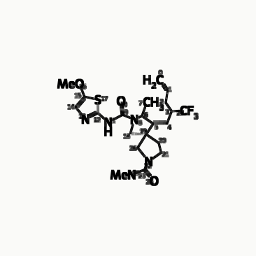 C=CCC(/C=C1\C(C)N(C(=O)Nc2ncc(OC)s2)C[C@@]12CCN(C(=O)NC)C2)C(F)(F)F